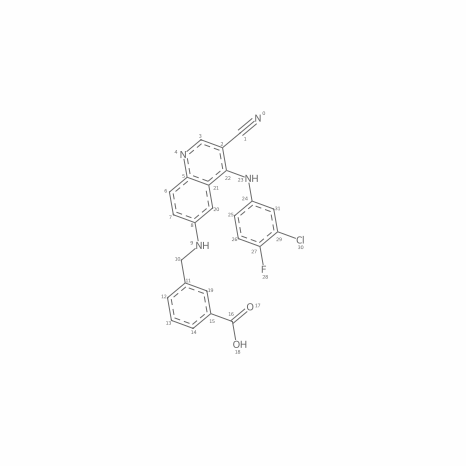 N#Cc1cnc2ccc(NCc3cccc(C(=O)O)c3)cc2c1Nc1ccc(F)c(Cl)c1